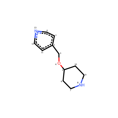 c1cc(COC2CCNCC2)ccn1